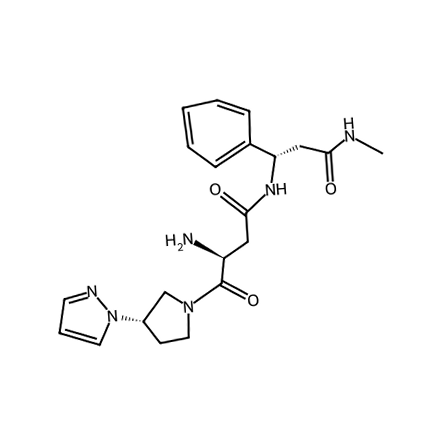 CNC(=O)C[C@H](NC(=O)C[C@H](N)C(=O)N1CC[C@H](n2cccn2)C1)c1ccccc1